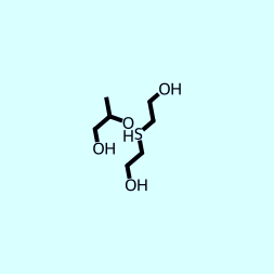 CC(O)CO.OCCSCCO